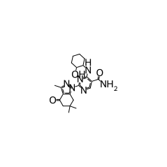 Cc1nn(-c2ncc(C(N)=O)c(NC3CCCCC3O)n2)c2c1C(=O)CC(C)(C)C2